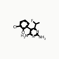 CC(F)c1nc(N)nc(N)c1-c1cccc(Cl)c1Cl